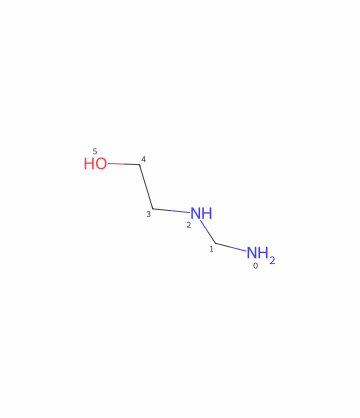 NCNCCO